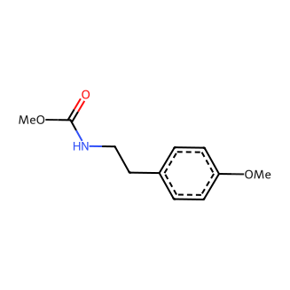 COC(=O)NCCc1ccc(OC)cc1